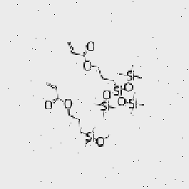 C=CC(=O)OCCC[Si](C)(C)OC.C=CC(=O)OCCC[Si](O[Si](C)(C)C)(O[Si](C)(C)C)O[Si](C)(C)C